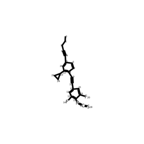 CCCC#Cc1ccc(C#Cc2cc(F)c(N=C=S)c(F)c2)c(C2CC2)c1